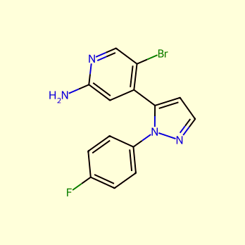 Nc1cc(-c2ccnn2-c2ccc(F)cc2)c(Br)cn1